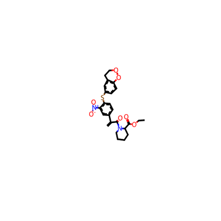 C=C(C(=O)N1CCCCC1C(=O)OCC)c1ccc(Sc2ccc3c(c2)CCOO3)c([N+](=O)[O-])c1